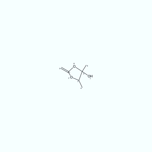 C=C1OC(C)C(C)(O)O1